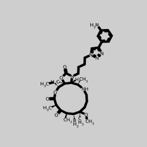 B[C@@H]1[C@@H](C)C(=O)[C@@H](C)C(=O)O[C@H](CC)[C@@]2(C)OC(=O)N(CCCCn3cc(-c4cccc(N)c4)nn3)[C@@H]2[C@H](C)NCCC[C@@]1(C)OC